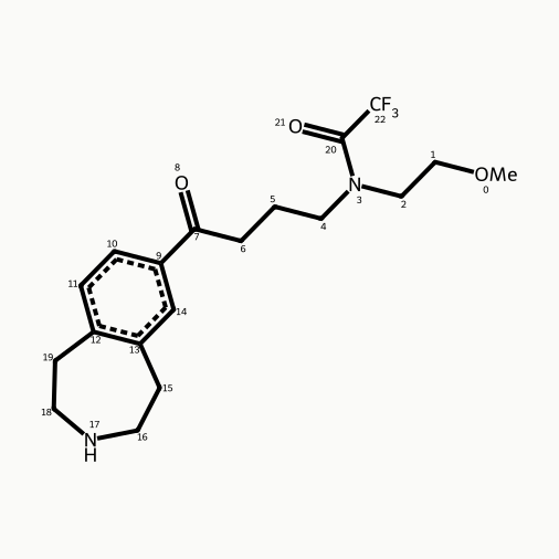 COCCN(CCCC(=O)c1ccc2c(c1)CCNCC2)C(=O)C(F)(F)F